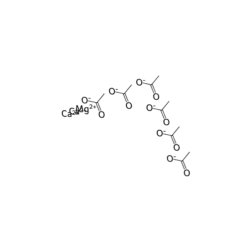 CC(=O)[O-].CC(=O)[O-].CC(=O)[O-].CC(=O)[O-].CC(=O)[O-].CC(=O)[O-].[Ca+2].[Ca+2].[Mg+2]